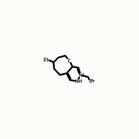 CCC1CCCC2C=[N+](CC(C)C)NC=C2CC1